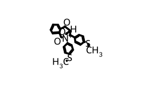 CSc1ccc(C2[C@H]3C(=O)c4ccccc4C(=O)[N@@+]2(c2ccc(SC)cc2)C3=O)cc1